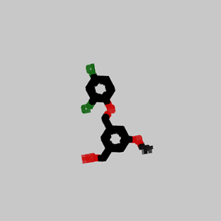 CC(C)Oc1cc(CO)cc(COc2ccc(Cl)cc2Cl)c1